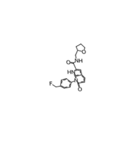 O=C(NCC1CCCO1)c1cc2ccc(=O)n(-c3ccc(CF)cc3)c2[nH]1